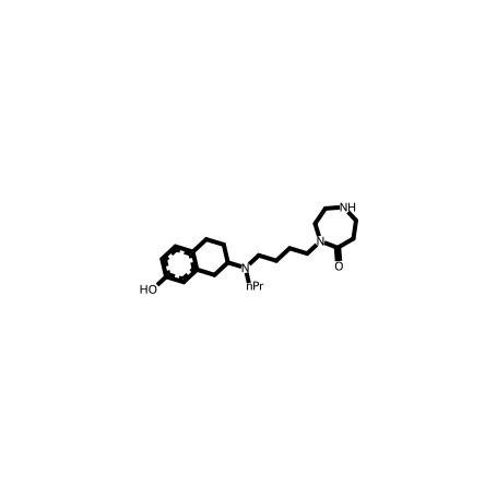 CCCN(CCCCN1CCNCCC1=O)C1CCc2ccc(O)cc2C1